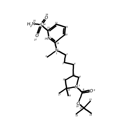 CN(CCCC1CN(C(=O)OC(C)(C)C)C(C)(C)C1)c1cccc(S(N)(=O)=O)n1